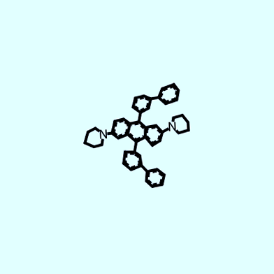 c1ccc(-c2cccc(-c3c4ccc(N5CCCCC5)cc4c(-c4cccc(-c5ccccc5)c4)c4ccc(N5CCCCC5)cc34)c2)cc1